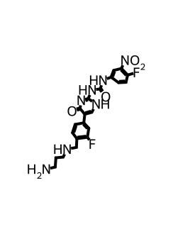 NCCCNCc1ccc(-c2c[nH]c(NC(=O)Nc3ccc(F)c([N+](=O)[O-])c3)nc2=O)cc1F